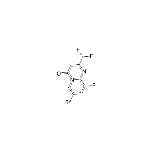 O=c1cc(C(F)F)nc2c(F)cc(Br)cn12